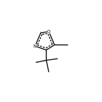 Cc1o[c]nc1C(C)(C)C